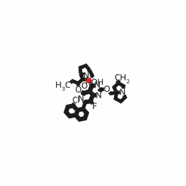 C=C1CN2CCCC2(COc2nc3c4c(nc(-c5cccc6cccc(Cl)c56)c(F)c4n2)OC(CC)C2C4CCC(CN32)N4C(=O)O)C1